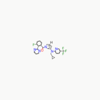 O=C(c1cccc(F)c1-c1ncccn1)N1C[C@@H]2CC1C(N(CC1CC1)c1ccc(C(F)(F)F)cn1)C2